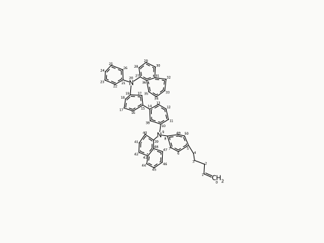 C=CCCCc1ccc(N(c2cccc(-c3cccc(N(c4ccccc4)c4cccc5ccccc45)c3)c2)c2cccc3ccccc23)cc1